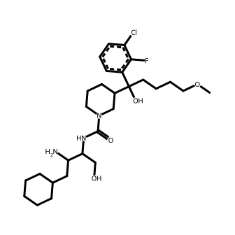 COCCCCC(O)(c1cccc(Cl)c1F)C1CCCN(C(=O)NC(CO)C(N)CC2CCCCC2)C1